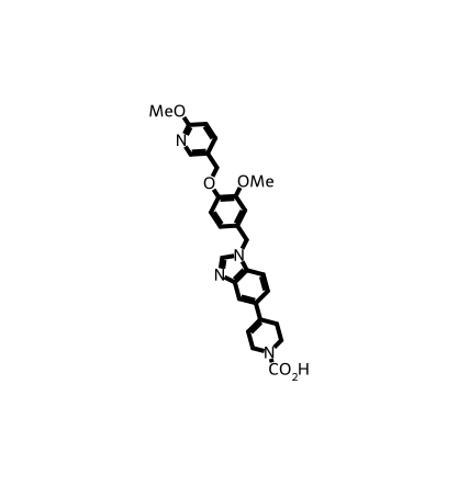 COc1ccc(COc2ccc(Cn3cnc4cc(C5=CCN(C(=O)O)CC5)ccc43)cc2OC)cn1